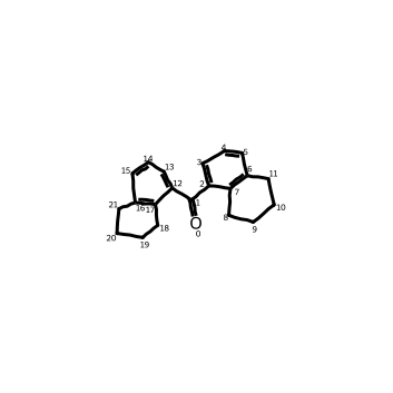 O=C(c1cccc2c1CCCC2)c1cccc2c1CCCC2